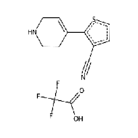 N#Cc1ccsc1C1=CCNCC1.O=C(O)C(F)(F)F